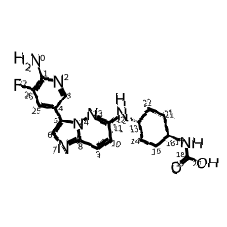 Nc1ncc(-c2cnc3ccc(N[C@H]4CC[C@H](NC(=O)O)CC4)nn23)cc1F